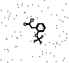 O=C(Cl)Cc1ccccc1OC(F)(F)F